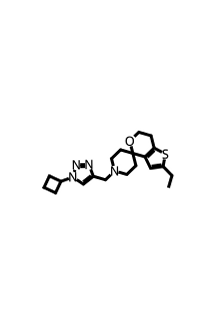 CCc1cc2c(s1)CCOC21CCN(Cc2cn(C3CCC3)nn2)CC1